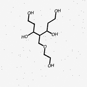 OCCOCC(C(O)CCO)C(O)CCO